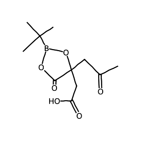 CC(=O)CC1(CC(=O)O)OB(C(C)(C)C)OC1=O